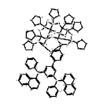 c1ccc(N(c2cc(-c3ccc([Si]45O[Si]6(C7CCCC7)O[Si]78OC9%10O[Si]%11(O4)O[Si](C4CCCC4)(O6)C%11(C4CCCC4)O[Si]9(C4CCCC4)O[Si]%10(C4CCCC4)OC7(C4CCCC4)[Si](C4CCCC4)(O5)O8)cc3)cc(N(c3ccccc3)c3cccc4ccccc34)c2)c2cccc3ccccc23)cc1